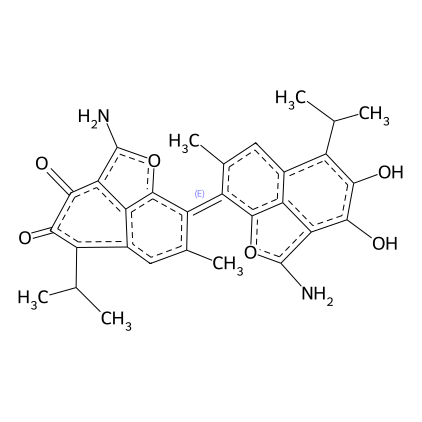 Cc1cc2c(C(C)C)c(O)c(O)c3c(N)oc(/c1=c1\c(C)cc4c(C(C)C)c(=O)c(=O)c5c(N)oc1c45)c23